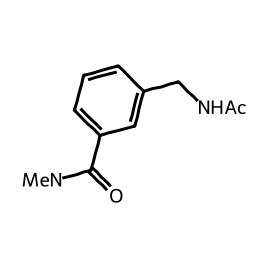 CNC(=O)c1cccc(CNC(C)=O)c1